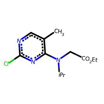 CCOC(=O)CN(c1nc(Cl)ncc1C)C(C)C